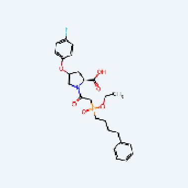 CCOP(=O)(CCCCc1ccccc1)CC(=O)N1CC(Oc2ccc(F)cc2)C[C@H]1C(=O)O